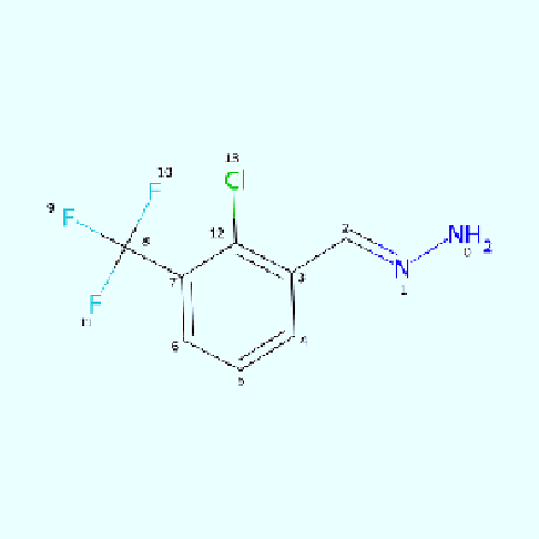 NN=Cc1cccc(C(F)(F)F)c1Cl